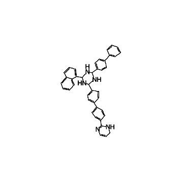 C1=CN=C(c2ccc(-c3ccc(C4NC(c5ccc(-c6ccccc6)cc5)NC(c5cccc6ccccc56)N4)cc3)cc2)NC1